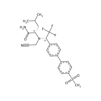 CC(C)C[C@@H](C(N)=O)N(CC#N)[C@@H](c1ccc(-c2ccc(S(C)(=O)=O)cc2)cc1)C(F)(F)F